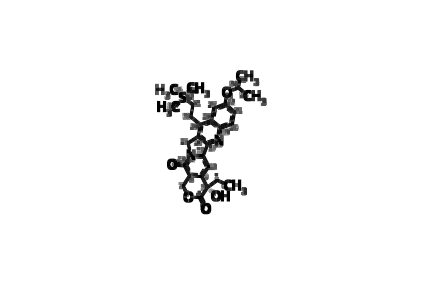 CC[C@@]1(O)C(=O)OCc2c1cc1n(c2=O)Cc2c-1nc1ccc(OC(C)C)cc1c2CC[Si](C)(C)C